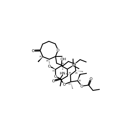 CCC(=O)O[C@H](CC)[C@@]1(C)OC(=O)N[C@@H]1[C@@H](C)N(CC)C[C@H](C)CC1(C)OCCCC(=O)[C@H](C)[C@H]1O[C@@H]1OC(C)CC(N(C)C)C1O